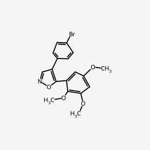 COc1cc(OC)c(OC)c(-c2oncc2-c2ccc(Br)cc2)c1